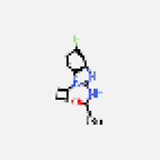 CC(C)(C)CC(=O)Nc1nc2cc(F)ccc2n1C1CCC1